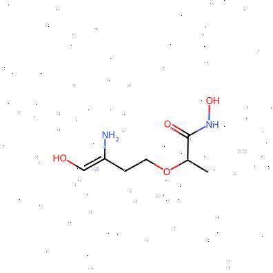 CC(OCC/C(N)=C/O)C(=O)NO